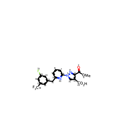 COC(=O)c1nn(-c2cccc(Cc3cc(F)cc(C(F)(F)F)c3)n2)cc1C(=O)O